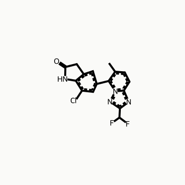 Cc1ccc2nc(C(F)F)nn2c1-c1cc(Cl)c2c(c1)CC(=O)N2